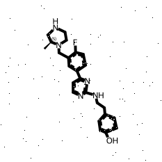 C[C@H]1CNCCN1Cc1cc(-c2ccnc(NCCc3ccc(O)cc3)n2)ccc1F